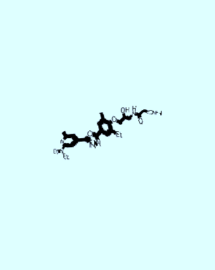 CCc1cc(-c2nnc(-c3cc(C)nc(N(CC)CC)c3)o2)cc(C)c1OCC(O)CNC(=O)CO